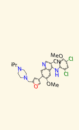 COc1cc(Nc2c(C#N)cnc3cc(-c4coc(CN5CCN(C(C)C)CC5)c4)c(OC)cc23)c(Cl)cc1Cl